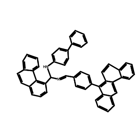 C(=N\C(Nc1ccc(-c2ccccc2)cc1)c1cccc2ccc3ccccc3c12)/c1ccc(-c2c3ccccc3cc3c2ccc2ccccc23)cc1